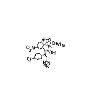 COC(OC)[C@@]1(C)Oc2ccc([N+](=O)[O-])cc2[C@@H](N(Cc2nnn(C)n2)c2ccc(Cl)cc2)[C@H]1O